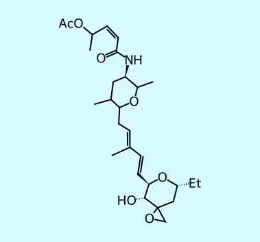 CC[C@@H]1CC2(CO2)[C@H](O)[C@@H](/C=C/C(C)=C/CC2OC(C)[C@H](NC(=O)/C=C\C(C)OC(C)=O)CC2C)O1